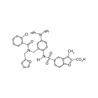 CCCN(CCC)c1ccc(N(CC)S(=O)(=O)c2ccc3oc(C(=O)O)c(C)c3c2)c(CN(Cc2ccco2)C(=O)c2ccccc2Cl)c1